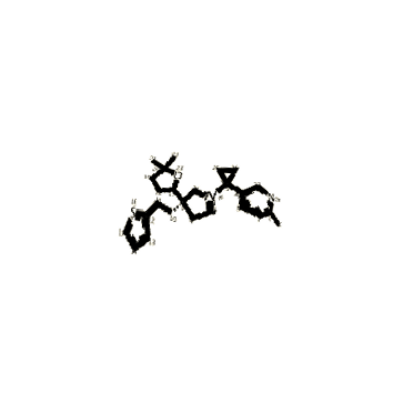 Cc1ccc(C2(N3CC[C@@](CCc4cccs4)(C4CCC(C)(C)O4)C3)CC2)cn1